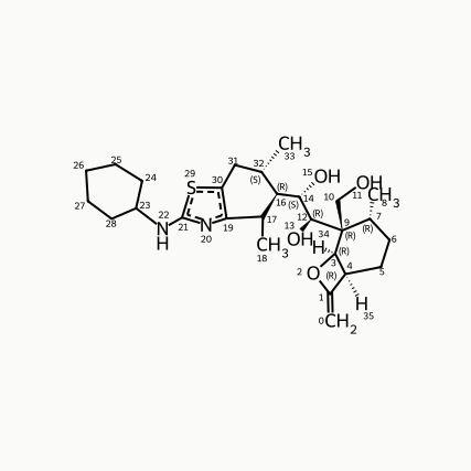 C=C1O[C@@H]2[C@H]1CC[C@@H](C)[C@@]2(CO)[C@@H](O)[C@@H](O)[C@H]1C(C)c2nc(NC3CCCCC3)sc2C[C@@H]1C